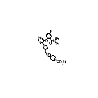 CC(C)N(C(=O)c1cc(F)ccc1Oc1cncnc1N1CCC(CN2CC3(CCN(C(=O)O)CC3)C2)C1)C(C)C